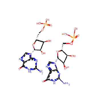 Nc1nc2c(ncn2[C@@H]2O[C@H](COP(=O)(O)O)[C@@H](O)[C@H]2O)c(=O)[nH]1.Nc1nc2c(ncn2[C@@H]2O[C@H](COP(=O)(O)O)[C@@H](O)[C@H]2O)c(=O)[nH]1